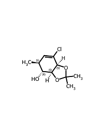 C[C@H]1C=C(Cl)[C@H]2OC(C)(C)O[C@H]2[C@@H]1O